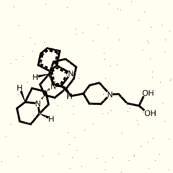 OC(O)CCN1CCC(Cc2nc3ccccc3n2[C@H]2C[C@H]3CCC[C@@H](C2)N3[C@@H]2C[C@@H]3CCCC[C@@H](C3)C2)CC1